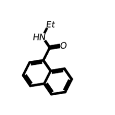 [CH2]CNC(=O)c1cccc2ccccc12